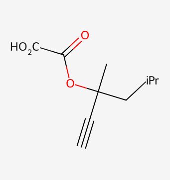 C#CC(C)(CC(C)C)OC(=O)C(=O)O